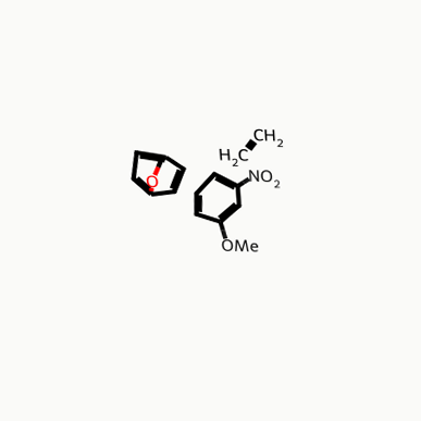 C=C.COc1cccc([N+](=O)[O-])c1.c1cc2ccc1CO2